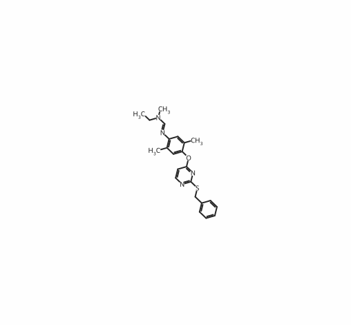 CCN(C)C=Nc1cc(C)c(Oc2ccnc(SCc3ccccc3)n2)cc1C